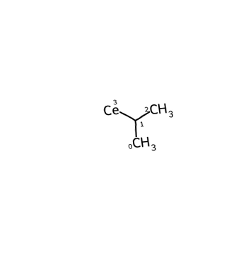 C[CH](C)[Ce]